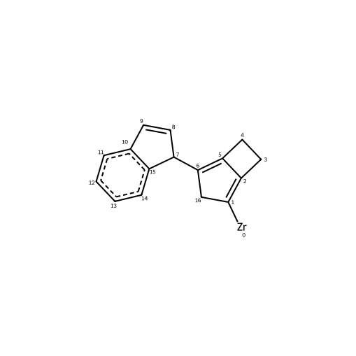 [Zr][C]1=C2CCC2=C(C2C=Cc3ccccc32)C1